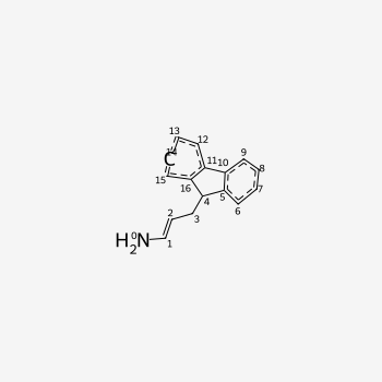 NC=CCC1c2ccccc2-c2ccccc21